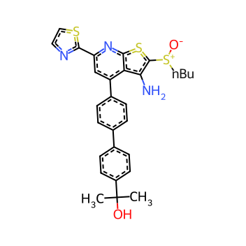 CCCC[S+]([O-])c1sc2nc(-c3nccs3)cc(-c3ccc(-c4ccc(C(C)(C)O)cc4)cc3)c2c1N